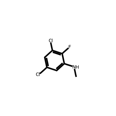 CNc1cc(Cl)cc(Cl)c1F